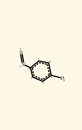 CCc1ccc([S+]=O)cc1